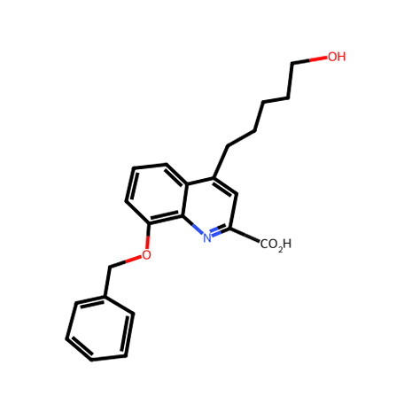 O=C(O)c1cc(CCCCCO)c2cccc(OCc3ccccc3)c2n1